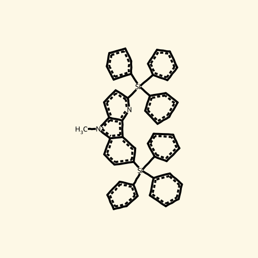 Cn1c2ccc([Si](c3ccccc3)(c3ccccc3)c3ccccc3)cc2c2nc([Si](c3ccccc3)(c3ccccc3)c3ccccc3)ccc21